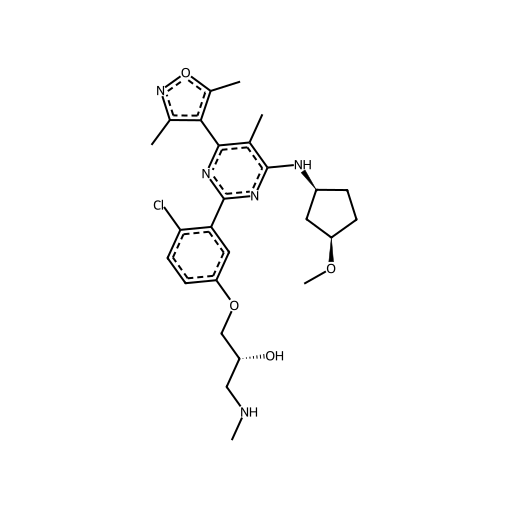 CNC[C@@H](O)COc1ccc(Cl)c(-c2nc(N[C@H]3CC[C@@H](OC)C3)c(C)c(-c3c(C)noc3C)n2)c1